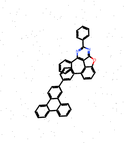 c1ccc(-c2nc(-c3ccccc3)c3c(n2)oc2cccc(-c4cccc(-c5ccc6c7ccccc7c7ccccc7c6c5)c4)c23)cc1